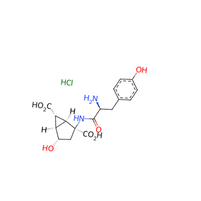 Cl.N[C@@H](Cc1ccc(O)cc1)C(=O)N[C@@]1(C(=O)O)C[C@H](O)[C@H]2[C@H](C(=O)O)[C@H]21